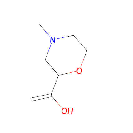 C=C(O)C1CN(C)CCO1